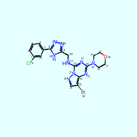 Clc1cccc(-c2nnc(CNc3nc(N4CCOCC4)nc4c(Br)cnn34)[nH]2)c1